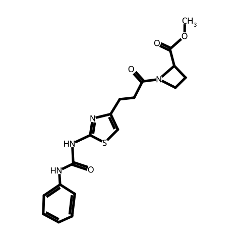 COC(=O)C1CCN1C(=O)CCc1csc(NC(=O)Nc2ccccc2)n1